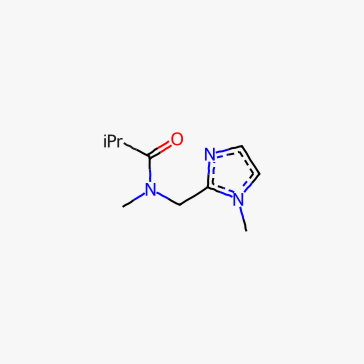 CC(C)C(=O)N(C)Cc1nccn1C